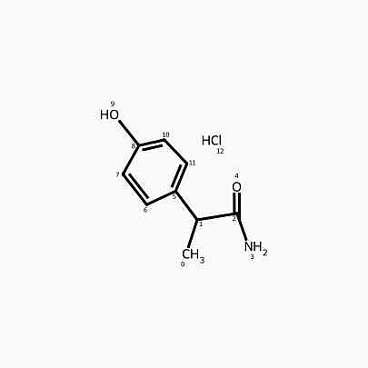 CC(C(N)=O)c1ccc(O)cc1.Cl